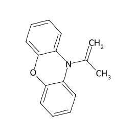 C=C(C)N1c2ccccc2Oc2ccccc21